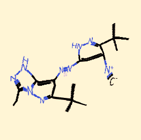 [C-]#[N+]c1c(C(C)(C)C)n[nH]c1/N=N/c1c(C(C)(C)C)nn2c(C)n[nH]c12